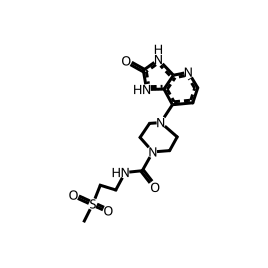 CS(=O)(=O)CCNC(=O)N1CCN(c2ccnc3[nH]c(=O)[nH]c23)CC1